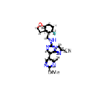 COc1ncc(-c2cnc(NCc3c(F)ccc4c3CCO4)n3cc(C#N)nc23)c(C)n1